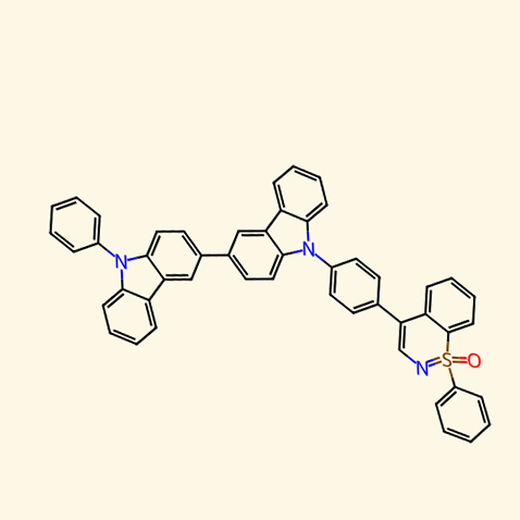 O=S1(c2ccccc2)=NC=C(c2ccc(-n3c4ccccc4c4cc(-c5ccc6c(c5)c5ccccc5n6-c5ccccc5)ccc43)cc2)c2ccccc21